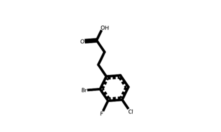 O=C(O)CCc1ccc(Cl)c(F)c1Br